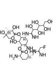 C[C@@H]1C(O)[C@@H](OC2C(O)C(O[C@H]3O[C@H](CNC(=N)CF)CCC3N)[C@@H](N)C[C@H]2NC(=N)C(O)C(O)C(O)C(O)CO)OCC1(C)O